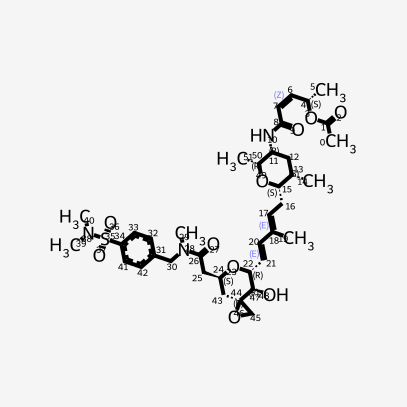 CC(=O)O[C@@H](C)/C=C\C(=O)N[C@@H]1C[C@H](C)[C@H](C/C=C(C)/C=C/[C@H]2O[C@H](CC(=O)N(C)Cc3ccc(S(=O)(=O)N(C)C)cc3)C[C@@]3(CO3)[C@@H]2O)O[C@@H]1C